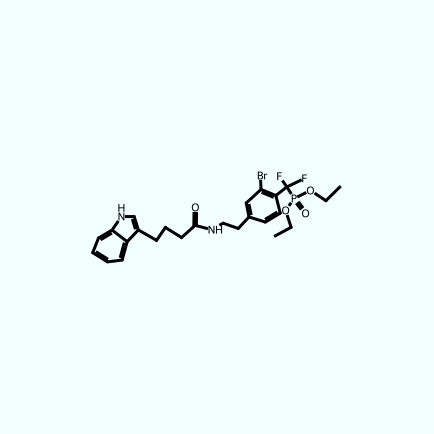 CCOP(=O)(OCC)C(F)(F)c1ccc(CCNC(=O)CCCc2c[nH]c3ccccc23)cc1Br